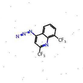 [N-]=[N+]=Nc1cc(C(F)(F)F)nc2c(C(F)(F)F)cccc12